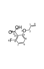 C=CCOc1cccc(F)c1C(=O)O